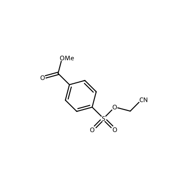 COC(=O)c1ccc(S(=O)(=O)OCC#N)cc1